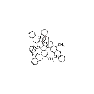 Cc1cc([Si](Cl)(c2cc(C)c(Cc3ccccc3)c(C)c2Cc2ccccc2)c2cc(C)c(Cc3ccccc3)c(C)c2Cc2ccccc2)c(Cc2ccccc2)c(C)c1Cc1ccccc1